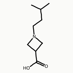 CC(C)CCN1CC(C(=O)O)C1